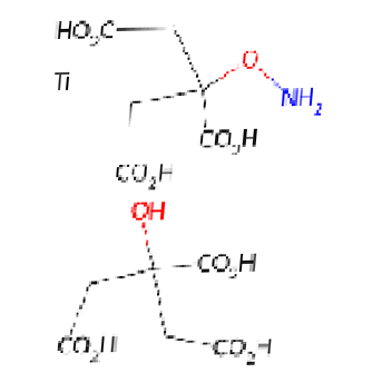 NOC(CC(=O)O)(CC(=O)O)C(=O)O.O=C(O)CC(O)(CC(=O)O)C(=O)O.[Ti]